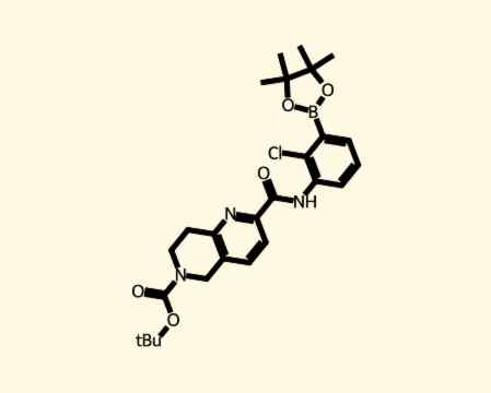 CC(C)(C)OC(=O)N1CCc2nc(C(=O)Nc3cccc(B4OC(C)(C)C(C)(C)O4)c3Cl)ccc2C1